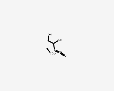 CC(=O)O.[N-]=[N+]=NC(O)CO